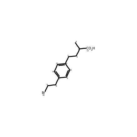 CC(CCc1ccc(CCBr)cc1)C(=O)O